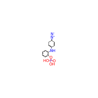 [N-]=[N+]=C1C=CC(Nc2ccccc2OP(=O)(O)O)=CC1